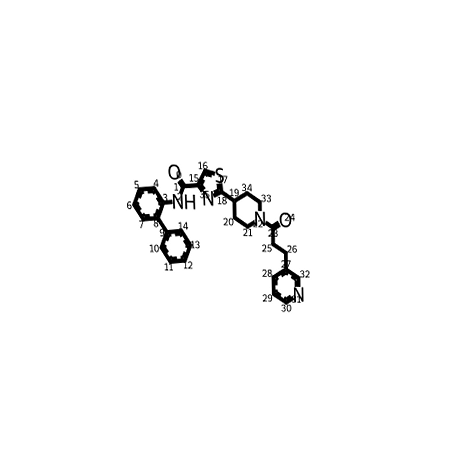 O=C(Nc1ccccc1-c1ccccc1)c1csc(C2CCN(C(=O)CCc3cccnc3)CC2)n1